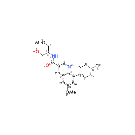 COC[C@H](CO)NC(=O)c1cnc2c(C3=CCC(C(F)(F)F)CC3)cc(OC)cc2c1